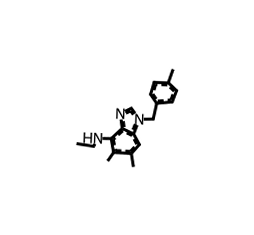 CCNc1c(C)c(C)cc2c1ncn2Cc1ccc(C)cc1